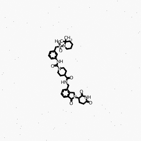 CC1(C)CCCCN1S(=O)(=O)Cc1cccc(NC(=O)N2CCC(C(=O)NCc3cccc4c3CN(C3CCC(=O)NC3=O)C4=O)CC2)c1